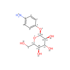 Nc1ccc(O[C@@H]2OC(CO)[C@H](O)C(O)[C@@H]2O)cc1